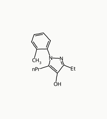 CCCc1c(O)c(CC)nn1-c1ccccc1C